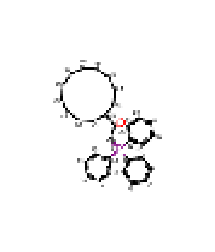 O=C(C=P(c1ccccc1)(c1ccccc1)c1ccccc1)C1CCCCCCCCCCC1